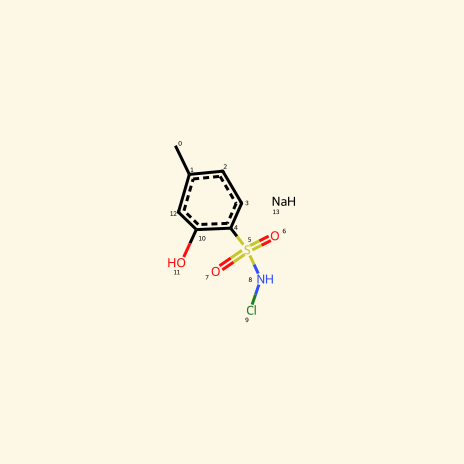 Cc1ccc(S(=O)(=O)NCl)c(O)c1.[NaH]